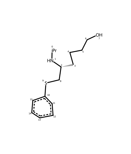 CC(C)N[C@H](CCCCO)CSc1ccccc1